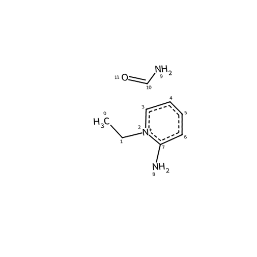 CC[n+]1ccccc1N.NC=O